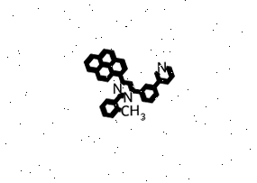 Cc1ccccc1-c1nc(-c2cccc(-c3cccnc3)c2)cc(-c2ccc3ccc4cccc5ccc2c3c45)n1